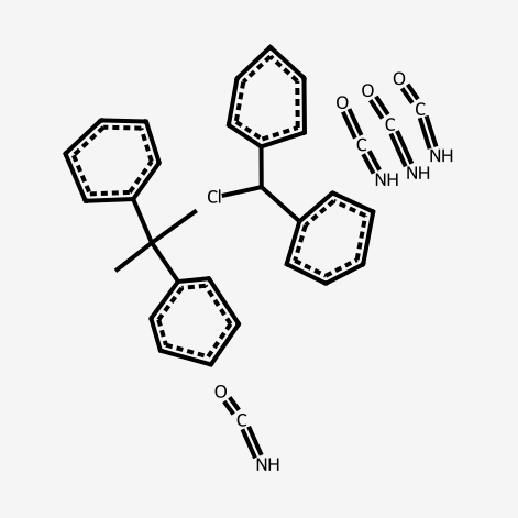 CC(C)(c1ccccc1)c1ccccc1.ClC(c1ccccc1)c1ccccc1.N=C=O.N=C=O.N=C=O.N=C=O